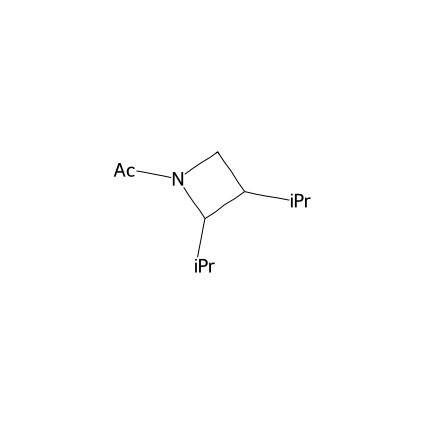 CC(=O)N1CC(C(C)C)C1C(C)C